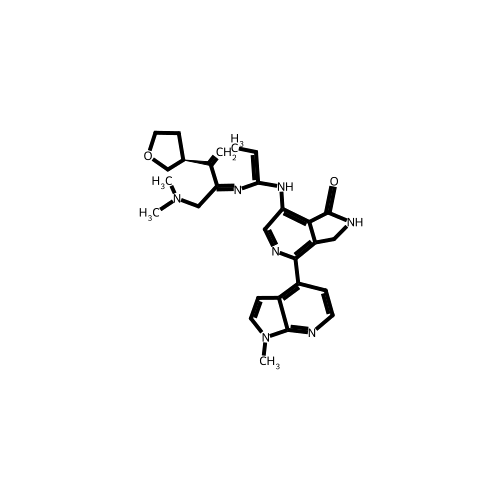 C=C(/C(CN(C)C)=N\C(=C/C)Nc1cnc(-c2ccnc3c2ccn3C)c2c1C(=O)NC2)[C@@H]1CCOC1